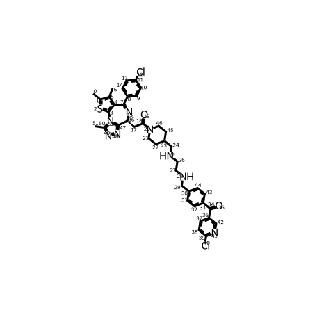 Cc1sc2c(c1C)C(c1ccc(Cl)cc1)=N[C@@H](CC(=O)N1CCC(CNCCNCc3ccc(C(=O)c4ccc(Cl)nc4)cc3)CC1)c1nnc(C)n1-2